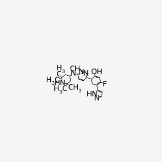 CN(c1ccc(C2CC(c3ccn[nH]3)=C(F)C=C2O)nn1)C1CC(C)(C)NC(C)(C)C1